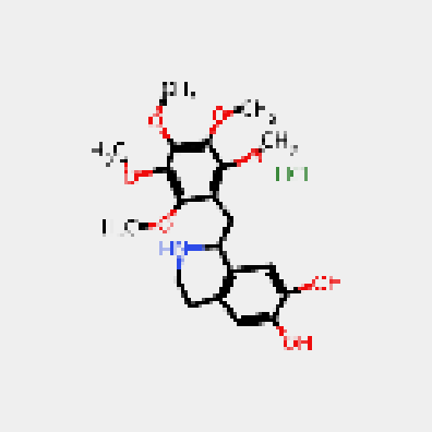 COc1c(CC2NCCc3cc(O)c(O)cc32)c(OC)c(OC)c(OC)c1OC.Cl